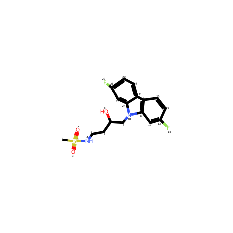 CS(=O)(=O)NCCC(O)Cn1c2cc(F)ccc2c2ccc(F)cc21